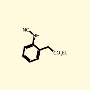 CCOC(=O)Cc1ccccc1NC#N